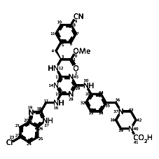 COC(=O)[C@H](Cc1ccc(C#N)cc1)Nc1nc(NCc2nc3cc(Cl)ccc3[nH]2)nc(Nc2cccc(CN3CCN(C(=O)O)CC3)c2)n1